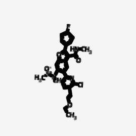 CCO/C=C/c1ccc(-c2cc3c(C(=O)NC)c(-c4ccc(F)cc4)oc3cc2N(C)[S+](C)[O-])nc1Cl